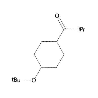 CC(C)C(=O)C1CCC(OC(C)(C)C)CC1